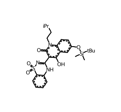 CC(C)CCn1c(=O)c(C2=NS(=O)(=O)c3ccccc3N2)c(O)c2cc(O[Si](C)(C)C(C)(C)C)ccc21